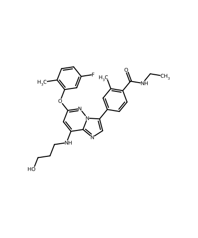 CCNC(=O)c1ccc(-c2cnc3c(NCCCO)cc(Oc4cc(F)ccc4C)nn23)cc1C